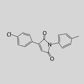 Cc1ccc(N2C(=O)C=C(c3ccc(Cl)cc3)C2=O)cc1